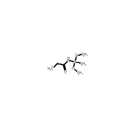 CCC(=O)N[Si](C)(OC)OC